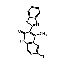 Cc1c(-c2nc3ccccc3[nH]2)c(=O)[nH]c2ccc(Cl)cc12